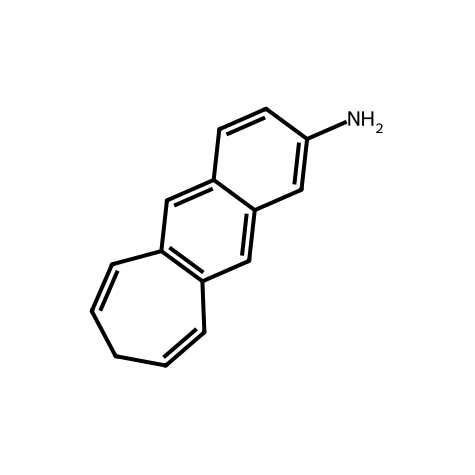 Nc1ccc2cc3c(cc2c1)C=CCC=C3